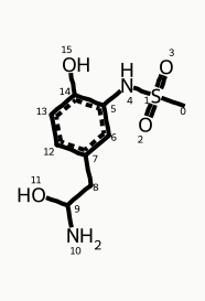 CS(=O)(=O)Nc1cc(CC(N)O)ccc1O